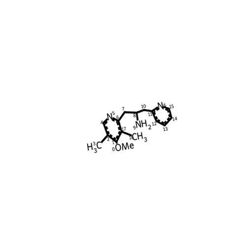 COc1c(C)cnc(CC(N)Cc2ccccn2)c1C